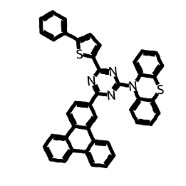 c1ccc(-c2ccc(-c3nc(-c4ccc5c6ccccc6c6ccccc6c5c4)nc(N4c5ccccc5Sc5ccccc54)n3)s2)cc1